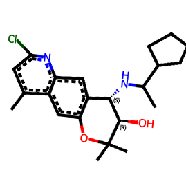 Cc1cc(Cl)nc2cc3c(cc12)OC(C)(C)[C@H](O)[C@H]3NC(C)C1CCCC1